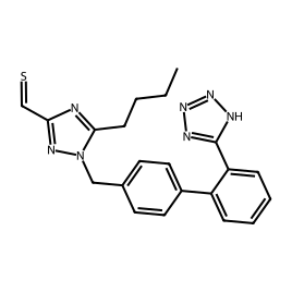 CCCCc1nc(C=S)nn1Cc1ccc(-c2ccccc2-c2nnn[nH]2)cc1